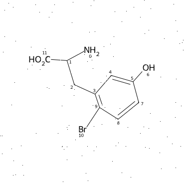 NC(Cc1cc(O)ccc1Br)C(=O)O